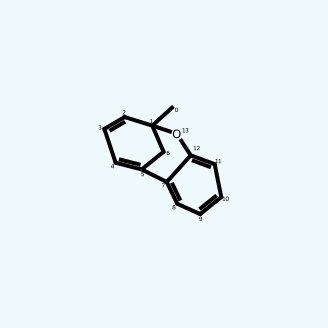 CC12C=CC=C(C1)c1ccccc1O2